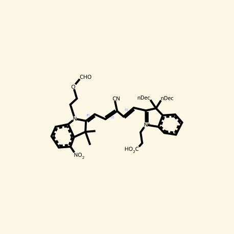 CCCCCCCCCCC1(CCCCCCCCCC)C(/C=C/C(C#N)=C/C=C2/N(CCOC=O)c3cccc([N+](=O)[O-])c3C2(C)C)=[N+](CCC(=O)O)c2ccccc21